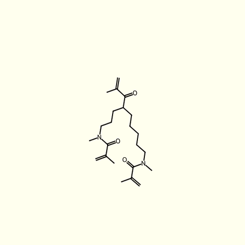 C=C(C)C(=O)C(CCCCCN(C)C(=O)C(=C)C)CCCN(C)C(=O)C(=C)C